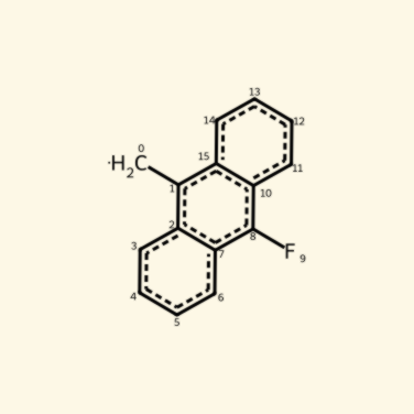 [CH2]c1c2ccccc2c(F)c2ccccc12